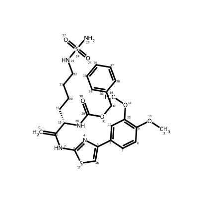 C=C(Nc1nc(-c2ccc(OC)c(OC)c2)cs1)[C@H](CCCCNS(N)(=O)=O)NC(=O)OCc1ccccc1